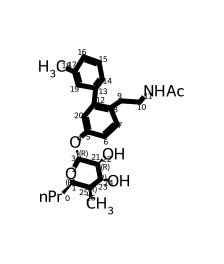 CCC[C@H]1O[C@H](Oc2ccc(CCNC(C)=O)c(-c3cccc(C)c3)c2)[C@H](O)[C@H](O)[C@H]1C